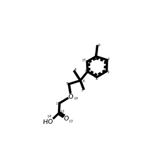 Cc1cccc(C(C)(C)COCC(=O)O)c1